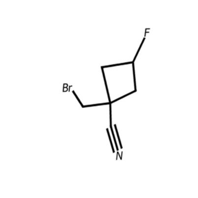 N#CC1(CBr)CC(F)C1